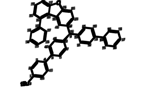 CC(C)(C)c1ccc(-c2ccc([C@H](c3ccc(-c4ccccc4)cc3)c3ccc4oc5cccc(-c6ccccc6)c5c4c3)cc2)cc1